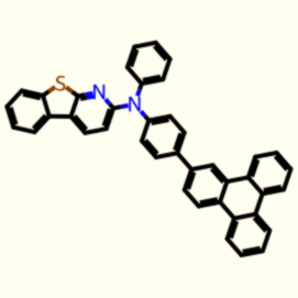 c1ccc(N(c2ccc(-c3ccc4c5ccccc5c5ccccc5c4c3)cc2)c2ccc3c(n2)sc2ccccc23)cc1